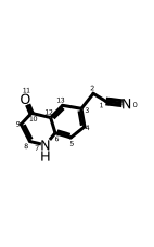 N#CCc1ccc2[nH]ccc(=O)c2c1